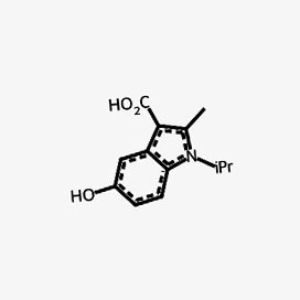 Cc1c(C(=O)O)c2cc(O)ccc2n1C(C)C